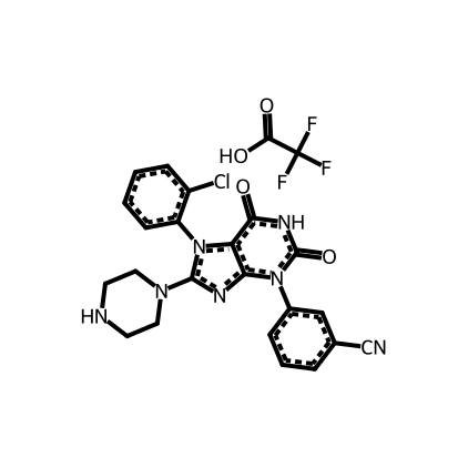 N#Cc1cccc(-n2c(=O)[nH]c(=O)c3c2nc(N2CCNCC2)n3-c2ccccc2Cl)c1.O=C(O)C(F)(F)F